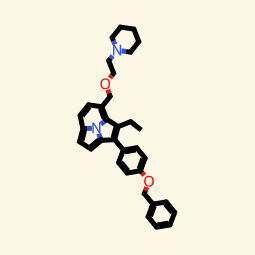 CCc1c(-c2ccc(OCc3ccccc3)cc2)c2ccc3ccc(COCCN4CCCCC4)c1n32